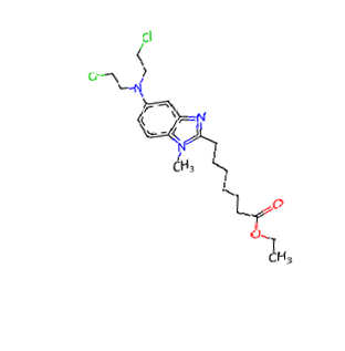 CCOC(=O)CCCCCCc1nc2cc(N(CCCl)CCCl)ccc2n1C